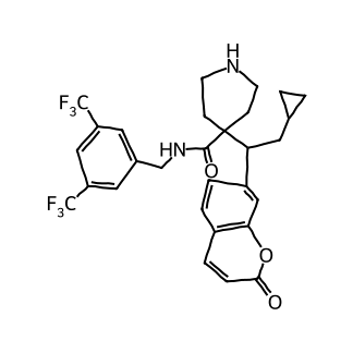 O=C(NCc1cc(C(F)(F)F)cc(C(F)(F)F)c1)C1(C(CC2CC2)c2ccc3ccc(=O)oc3c2)CCNCC1